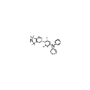 Cc1cc(N(c2ccccc2)c2ccccc2)cc(C)c1-c1ccc2c(c1)C(C)(C)N(C)C2(C)C